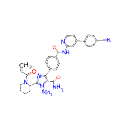 C=CC(=O)N1CCCCC1c1nc(-c2ccc(C(=O)Nc3cc(-c4ccc(C#N)cc4)ccn3)cc2)c(C(N)=O)n1N